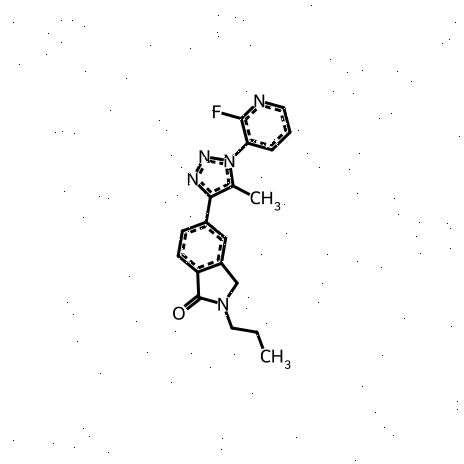 CCCN1Cc2cc(-c3nnn(-c4cccnc4F)c3C)ccc2C1=O